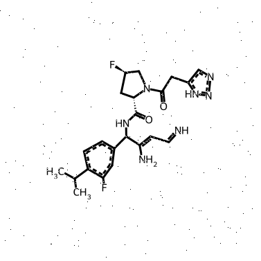 CC(C)c1ccc(C(NC(=O)[C@@H]2C[C@@H](F)CN2C(=O)Cc2cnn[nH]2)/C(N)=C/C=N)cc1F